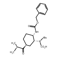 CN(C)C(=O)[C@H]1CC[C@H](NC(=O)OCc2ccccc2)[C@H](N(C(=O)O)C(C)(C)C)C1